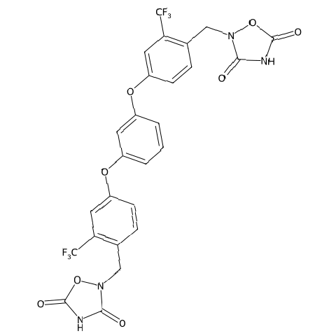 O=c1[nH]c(=O)n(Cc2ccc(Oc3cccc(Oc4ccc(Cn5oc(=O)[nH]c5=O)c(C(F)(F)F)c4)c3)cc2C(F)(F)F)o1